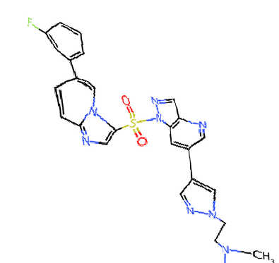 CN(C)CCn1cc(-c2cnc3cnn(S(=O)(=O)c4cnc5ccc(-c6cccc(F)c6)cn45)c3c2)cn1